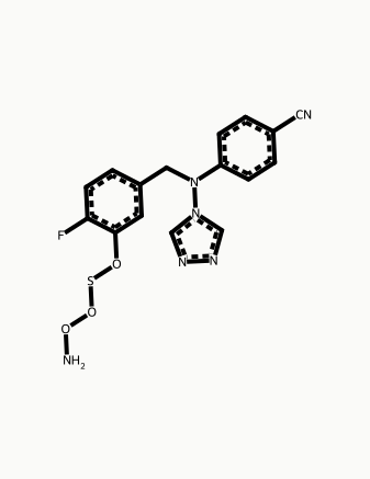 N#Cc1ccc(N(Cc2ccc(F)c(OSOON)c2)n2cnnc2)cc1